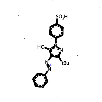 CC(C)(C)c1nn(-c2ccc(S(=O)(=O)O)cc2)c(O)c1/N=N/c1ccccc1